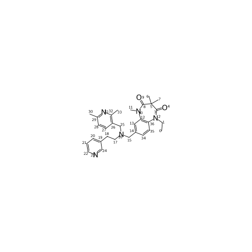 CCN1C(=O)C(C)(C)C(=O)N(C)c2cc(CN(CCc3cccnc3)Cc3ccc(C)nc3C)ccc21